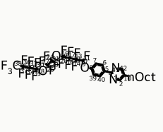 CCCCCCCCc1cnc(-c2ccc(OC(F)C(F)(F)C(F)(F)C(F)(F)OC(F)(F)C(F)(F)OC(F)(F)C(F)(F)C(F)(F)C(F)(F)F)cc2)nc1